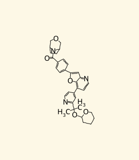 CC(C)(OC1CCCCO1)c1cc(-c2ccnc3cc(-c4ccc(C(=O)N5C6CCC5COC6)cc4)oc23)ccn1